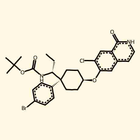 CC[C@@H](NC(=O)OC(C)(C)C)[C@]1(c2ccc(Br)cc2)CC[C@H](Oc2cc3cc[nH]c(=O)c3cc2Cl)CC1